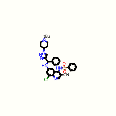 CC(C)(C)N1CCC(n2cc(C(Nc3cc(Cl)c4ncc(C#N)c(NS(=O)(=O)c5ccccc5)c4c3)c3ccccc3)nn2)CC1